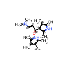 CC(=O)c1c(C)[nH]c(C#N)c1C.Cc1[nH]c(C#N)c(C)c1C(=O)C=CN(C)C